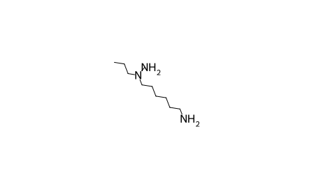 CCCN(N)CCCCCCN